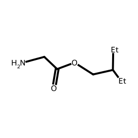 CCC(CC)COC(=O)CN